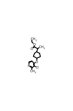 CCOC(=O)C(C)C1CCC(Oc2ccnc(C)c2Cl)CC1